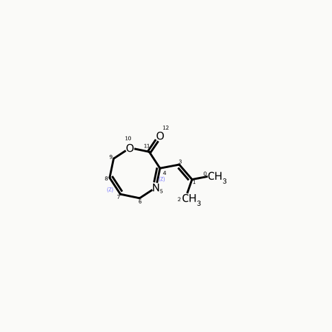 CC(C)=C/C1=N/C/C=C\COC1=O